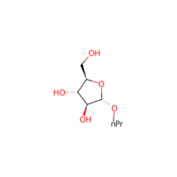 CCCO[C@H]1O[C@H](CO)[C@@H](O)[C@@H]1O